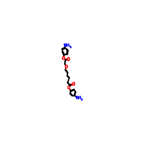 Nc1ccc(OC(=O)CCCCCOCC(=O)Oc2ccc(N)cc2)cc1